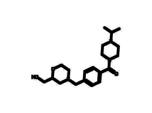 CC(C)N1CCN(C(=O)c2ccc(CN3CCOC(CO)C3)cc2)CC1